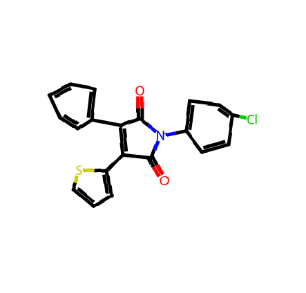 O=C1C(c2ccccc2)=C(c2cccs2)C(=O)N1c1ccc(Cl)cc1